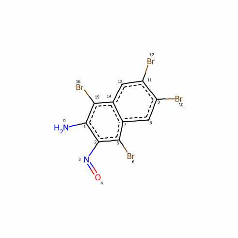 Nc1c(N=O)c(Br)c2cc(Br)c(Br)cc2c1Br